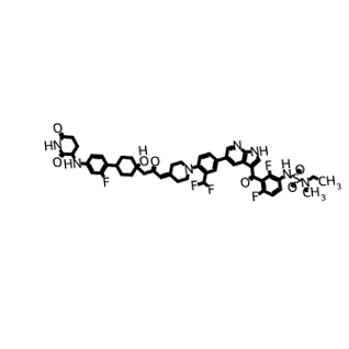 CCN(C)S(=O)(=O)Nc1ccc(F)c(C(=O)c2c[nH]c3ncc(-c4ccc(N5CCC(=CC(=O)CC6(O)CCC(c7ccc(NC8CCC(=O)NC8=O)cc7F)CC6)CC5)c(C(F)F)c4)cc23)c1F